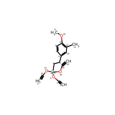 C#CO[Si](CCc1ccc(OC)c(C)c1)(OC#C)OC#C